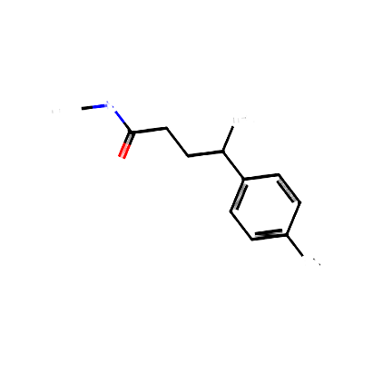 CCCCC(CCC(=O)NC=O)c1ccc(C#N)cc1